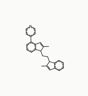 CC1=Cc2ccccc2C1CCC1C(C)=Cc2c(-c3ccncc3)cccc21